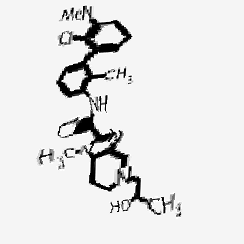 CNc1cccc(-c2cccc(NC(=O)c3nc4c(n3C)CCN(CC(C)O)C4)c2C)c1Cl